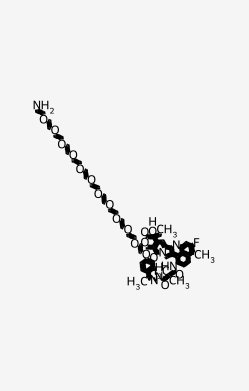 CC[C@]1(O)C(=O)OCc2c1cc1n(c2=O)Cc2c-1nc1cc(F)c(C)c3c1c2[C@H](NC(=O)C(C)(C)C(=O)N/N=C(/C)c1ccc(OCCOCCOCCOCCOCCOCCOCCOCCOCCOCCOCCOCCN)cc1)CC3